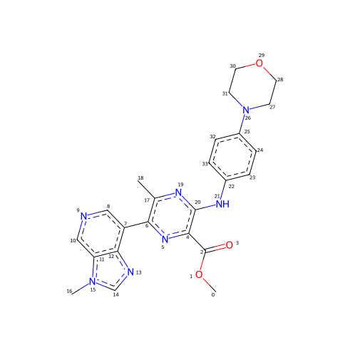 COC(=O)c1nc(-c2cncc3c2ncn3C)c(C)nc1Nc1ccc(N2CCOCC2)cc1